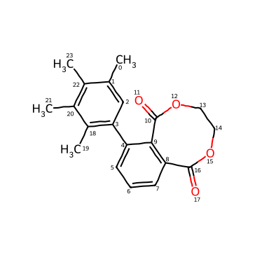 Cc1cc(-c2cccc3c2C(=O)OCCOC3=O)c(C)c(C)c1C